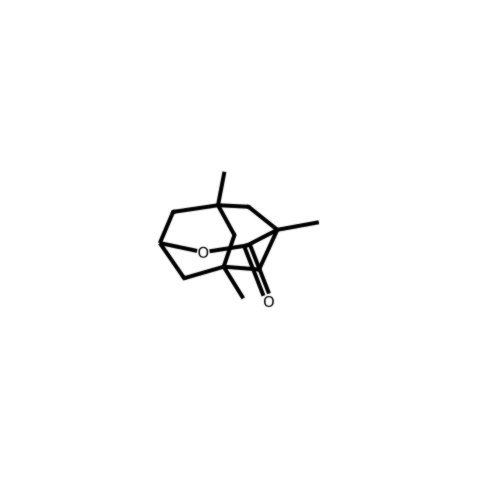 CC12CC3CC(C)(C1)CC(C)(C2)C(=O)O3